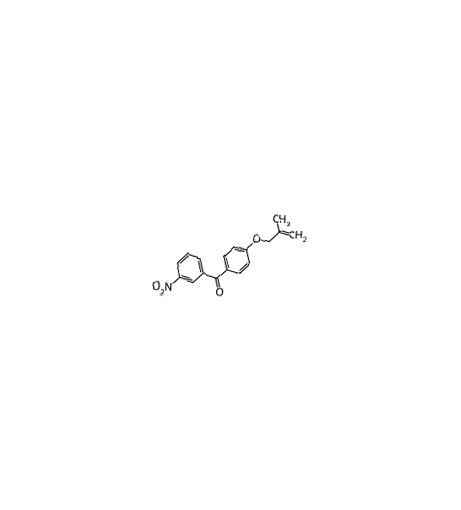 C=C(C)COc1ccc(C(=O)c2cccc([N+](=O)[O-])c2)cc1